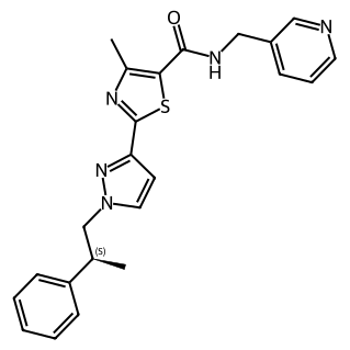 Cc1nc(-c2ccn(C[C@@H](C)c3ccccc3)n2)sc1C(=O)NCc1cccnc1